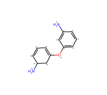 Nc1cccc(OC2=CC=CC(N)C2)c1